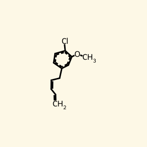 C=C/C=C\Cc1ccc(Cl)c(OC)c1